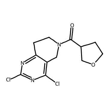 O=C(C1CCOC1)N1CCc2nc(Cl)nc(Cl)c2C1